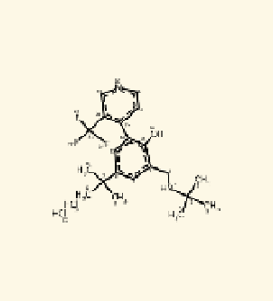 CC(C)(C)NCc1cc(C(C)(C)C)cc(-c2ccncc2C(F)(F)F)c1O.Cl.Cl